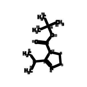 CC(C)C1=NCCN1C(=O)OC(C)(C)C